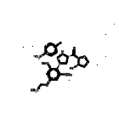 COc1cc(OCC(=O)O)cc(OC)c1[C@@H]1CN[C@H](C(=O)N2CCC[C@H]2C#N)C1.Cc1ccc(S(=O)(=O)O)cc1